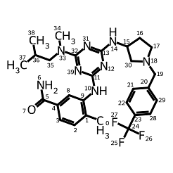 Cc1ccc(C(N)=O)cc1Nc1nc(NC2CCN(Cc3ccc(C(F)(F)F)cc3)C2)nc(N(C)CC(C)C)n1